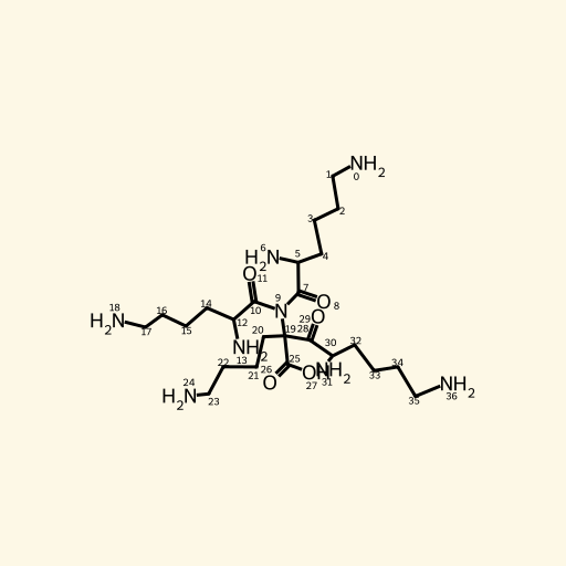 NCCCCC(N)C(=O)N(C(=O)C(N)CCCCN)C(CCCCN)(C(=O)O)C(=O)C(N)CCCCN